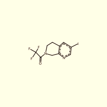 O=C(N1CCc2cc(I)cnc2C1)C(F)(F)F